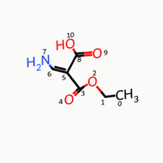 CCOC(=O)C(=CN)C(=O)O